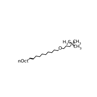 CCCCCCCCC=CCCCCCCCCOCCC[N+](C)(C)C